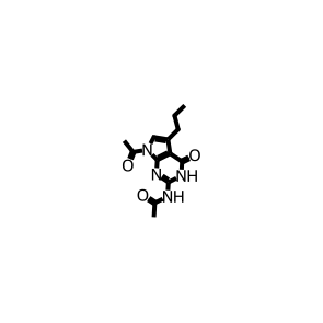 CCCc1cn(C(C)=O)c2nc(NC(C)=O)[nH]c(=O)c12